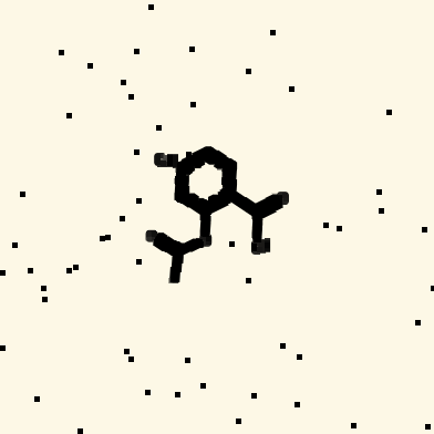 CC(=O)Oc1ccccc1C(=O)O.[CaH2]